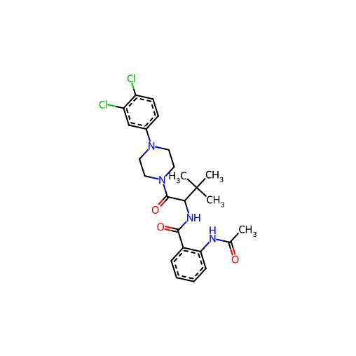 CC(=O)Nc1ccccc1C(=O)NC(C(=O)N1CCN(c2ccc(Cl)c(Cl)c2)CC1)C(C)(C)C